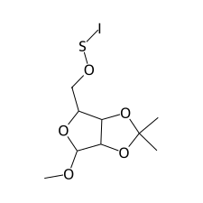 COC1OC(COSI)C2OC(C)(C)OC12